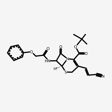 CC(C)(C)OC(=O)C1=C(C=CC#N)CS[C@H]2C(NC(=O)COc3ccccc3)C(=O)N12